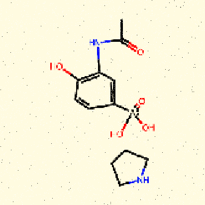 C1CCNC1.CC(=O)Nc1cc([As](=O)(O)O)ccc1O